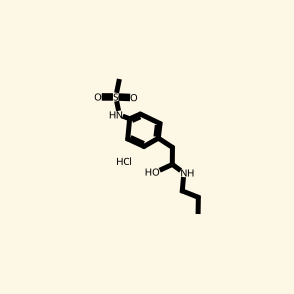 CCCNC(O)Cc1ccc(NS(C)(=O)=O)cc1.Cl